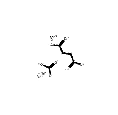 O=C([O-])CCC(=O)[O-].O=C([O-])[O-].[Fe+2].[Mn+2].[Na+]